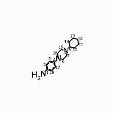 Nc1ccc(N2CCN(C3CCCCC3)CC2)cc1